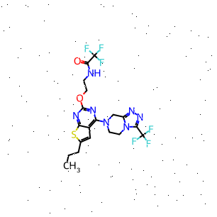 CCCc1cc2c(N3CCn4c(nnc4C(F)(F)F)C3)nc(OCCNC(=O)C(F)(F)F)nc2s1